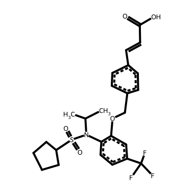 CC(C)N(c1ccc(C(F)(F)F)cc1OCc1ccc(C=CC(=O)O)cc1)S(=O)(=O)C1CCCC1